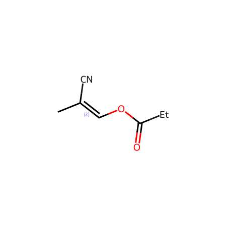 CCC(=O)O/C=C(/C)C#N